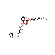 C1=CCCC1.CCCCCCCCOC(=O)c1ccccc1C(=O)OCCCCCCCC